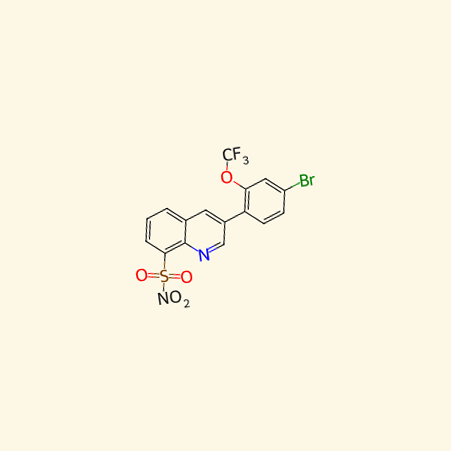 O=[N+]([O-])S(=O)(=O)c1cccc2cc(-c3ccc(Br)cc3OC(F)(F)F)cnc12